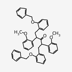 COc1ccccc1C(Cc1ccccc1OCc1ccccc1)C(=O)C(Cc1ccccc1OCc1ccccc1)c1ccccc1OC